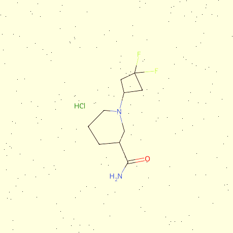 Cl.NC(=O)C1CCCN(C2CC(F)(F)C2)C1